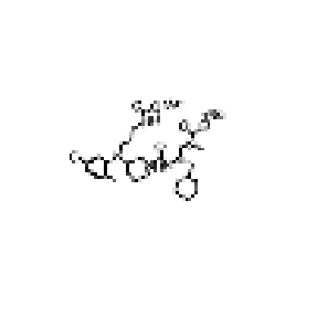 COC(=O)NCCCN(c1cc(Cl)ccc1C)C1CCCN(C(=O)N[C@@H](CC2CCCCC2)CN(C)C(=O)OC(C)(C)C)C1